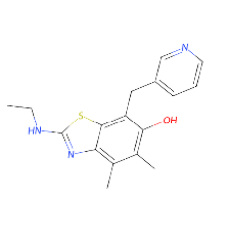 CCNc1nc2c(C)c(C)c(O)c(Cc3cccnc3)c2s1